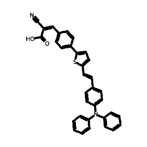 N#C/C(=C/c1ccc(-c2ccc(/C=C/c3ccc(N(c4ccccc4)c4ccccc4)cc3)s2)cc1)C(=O)O